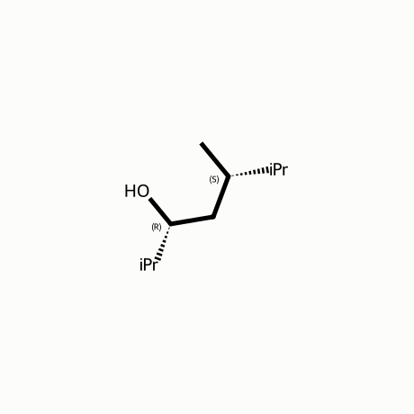 CC(C)[C@H](O)C[C@H](C)C(C)C